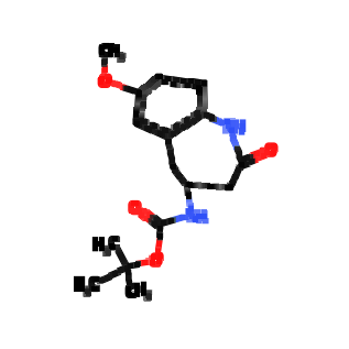 COc1ccc2c(c1)CC(NC(=O)OC(C)(C)C)CC(=O)N2